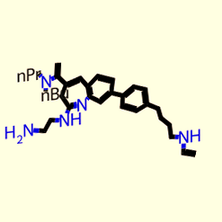 C=CNCCCCc1ccc(-c2ccc3c(c2)N=C(NCCN)CC(C(=C)N(CCC)CCCC)=C3)cc1